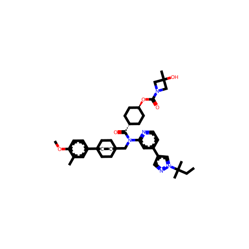 CCC(C)(C)n1cc(-c2ccnc(N(CC34CCC(c5ccc(OC)c(C)c5)(CC3)CC4)C(=O)[C@H]3CC[C@H](OC(=O)N4CC(C)(O)C4)CC3)c2)cn1